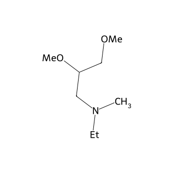 CCN(C)CC(COC)OC